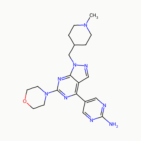 CN1CCC(Cn2ncc3c(-c4cnc(N)nc4)nc(N4CCOCC4)nc32)CC1